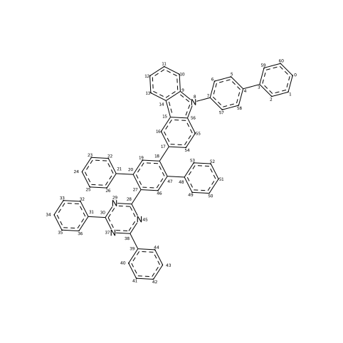 c1ccc(-c2ccc(-n3c4ccccc4c4cc(-c5cc(-c6ccccc6)c(-c6nc(-c7ccccc7)nc(-c7ccccc7)n6)cc5-c5ccccc5)ccc43)cc2)cc1